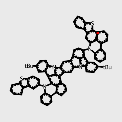 CC(C)(C)c1ccc2c(c1)c1c(N(c3ccc4sc5ccccc5c4c3)c3ccccc3-c3ccccc3)ccc3c4cc5c(cc4n2c31)c1ccc(N(c2ccc3sc4ccccc4c3c2)c2ccccc2-c2ccccc2)c2c3cc(C(C)(C)C)ccc3n5c12